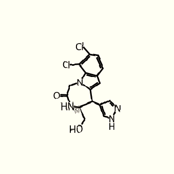 O=C1Cn2c(cc3ccc(Cl)c(Cl)c32)C(c2cn[nH]c2)[C@@H](CO)N1